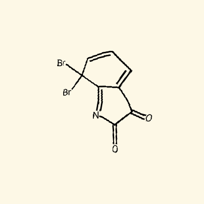 O=C1N=C2C(=CC=CC2(Br)Br)C1=O